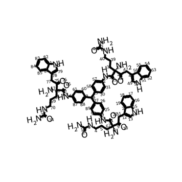 NC(=O)NCCC[C@@](N)(C(=O)Cc1c[nH]c2ccccc12)C(=O)Nc1ccc(C(c2ccc(NC(=O)[C@@](N)(CCCNC(N)=O)C(=O)Cc3c[nH]c4ccccc34)cc2)c2ccc(NC(=O)[C@@](N)(CCCNC(N)=O)C(=O)Cc3c[nH]c4ccccc34)cc2)cc1